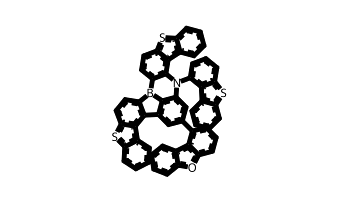 c1ccc2c(c1)oc1cccc(-c3cc4c5c(c3)N(c3cccc6sc7ccccc7c36)c3c(ccc6sc7ccccc7c36)B5c3ccc5sc6ccccc6c5c3-4)c12